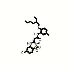 CCCCC(CC)CSc1ccc(C)cc1NC(=O)/C=C1/Nc2cc(Cl)ccc2S(=O)(=O)N1C